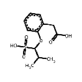 CC(C)C(Oc1ccccc1CC(=O)O)S(=O)(=O)O